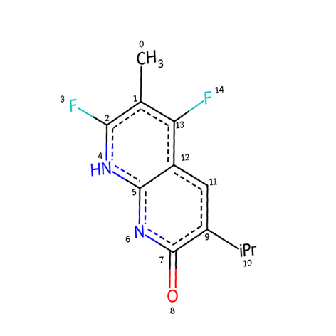 Cc1c(F)[nH]c2nc(=O)c(C(C)C)cc-2c1F